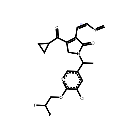 C=N/C=C\C1=C(C(=O)C2CC2)CN(C(C)c2cnc(OCC(F)F)c(Cl)c2)C1=O